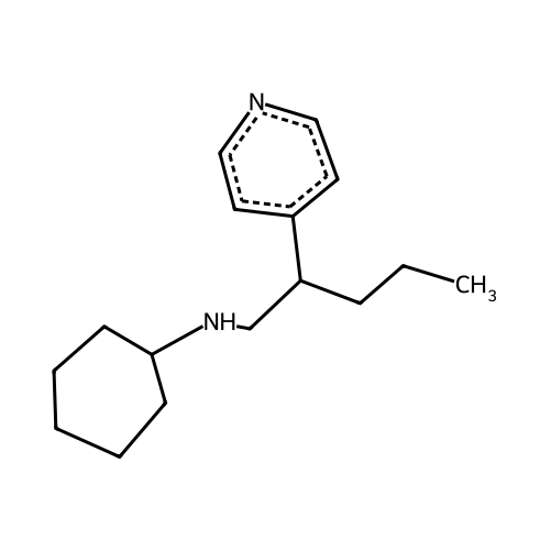 CCCC(CNC1CCCCC1)c1ccncc1